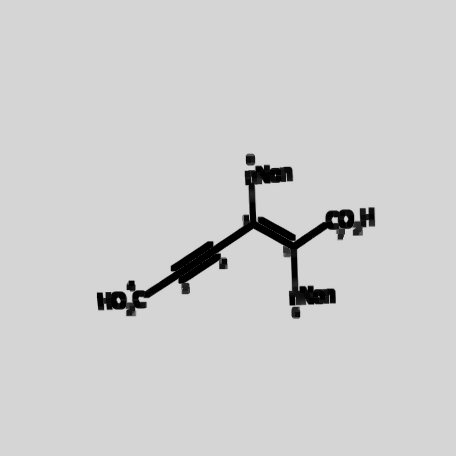 CCCCCCCCCC(C#CC(=O)O)=C(CCCCCCCCC)C(=O)O